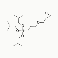 CC(C)CO[Si](CCCOCC1CO1)(OCC(C)C)OCC(C)C